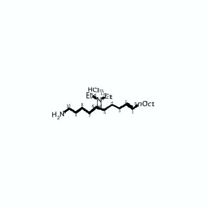 CCCCCCCCC=CCCCCCCCCN.CCNCC.Cl